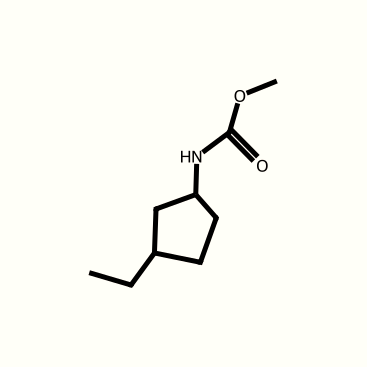 CCC1CCC(NC(=O)OC)C1